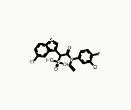 C=CN(C(=O)C(c1csc2ccc(Cl)cc12)P(=O)(O)O)c1ccc(F)c(Cl)c1